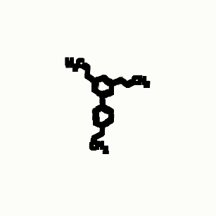 C=CCc1ccc(-c2cc(CC=C)cc(CC=C)c2)cc1